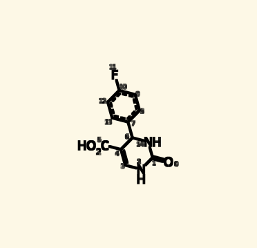 O=C1NC=C(C(=O)O)C(c2ccc(F)cc2)N1